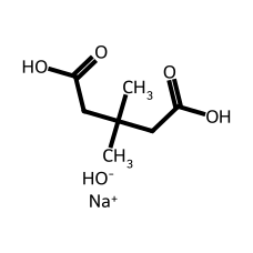 CC(C)(CC(=O)O)CC(=O)O.[Na+].[OH-]